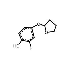 Oc1ccc(O[C@H]2CCCO2)cc1F